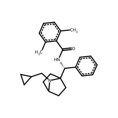 Cc1cccc(C)c1C(=O)N[C@H](c1ccccc1)C12CCC(CC1)N2CC1CC1